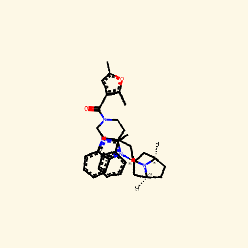 Cc1cc(C(=O)N2CCC(CCN3[C@@H]4CC[C@H]3C[C@@H](n3c(C)nc5ccccc53)C4)(c3ccccc3)CC2)c(C)o1